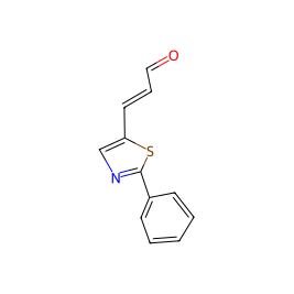 O=CC=Cc1cnc(-c2ccccc2)s1